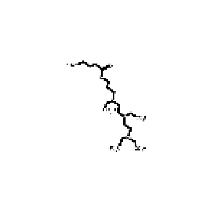 CCCCCCCCCCCCCC(=O)OCCCN(CCN(CCN(CC(=O)O)CC(=O)O)CC(=O)O)CC(=O)O